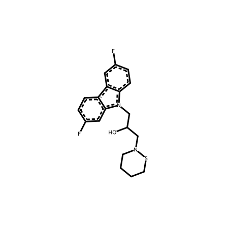 OC(CN1CCCCS1)Cn1c2ccc(F)cc2c2ccc(F)cc21